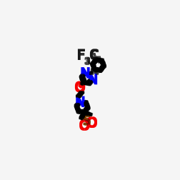 O=S1(=O)CC2(CCN(CCOc3cnc([C@H]4CCC[C@@H](C(F)(F)F)C4)nc3)CC2)C1